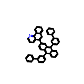 c1ccc(-c2cccc(-c3c4ccccc4c(-c4cccc(-c5ccccc5)c4)c4cc(-c5cc6ccccc6c6ncccc56)ccc34)c2)cc1